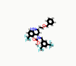 COC(=O)N(Cc1cc(C(F)(F)F)cc(C(F)(F)F)c1)[C@H]1C[C@@H](CCOCc2ccccc2)Nc2ccc(C(F)(F)F)cc21